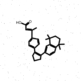 CC(=CC(=O)O)c1ccc(C2=C(c3ccc4c(c3)C(C)(C)CCC4(C)C)CCC2)cc1